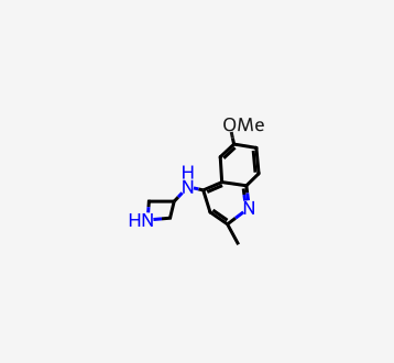 COc1ccc2nc(C)cc(NC3CNC3)c2c1